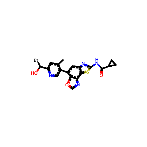 CCC(O)c1cc(C)c(-c2cc3nc(NC(=O)C4CC4)sc3c3ncoc23)cn1